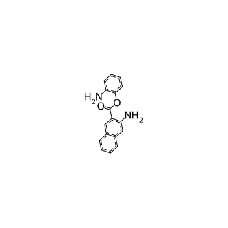 Nc1ccccc1OC(=O)c1cc2ccccc2cc1N